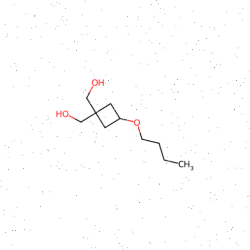 CCCCOC1CC(CO)(CO)C1